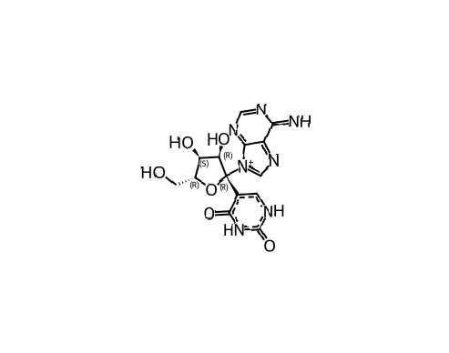 N=C1N=CN=C2C1=NC=[N+]2[C@]1(c2c[nH]c(=O)[nH]c2=O)O[C@H](CO)[C@@H](O)[C@H]1O